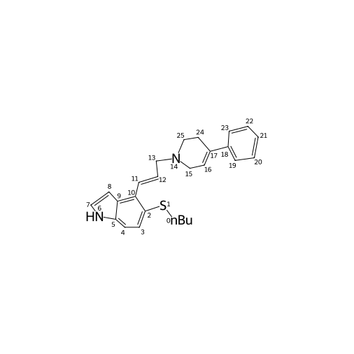 CCCCSc1ccc2[nH]ccc2c1C=CCN1CC=C(c2ccccc2)CC1